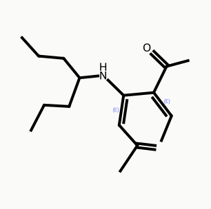 C=C(C)/C=C(NC(CCC)CCC)\C(=C/C)C(C)=O